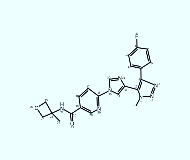 Cn1nnc(-c2ccc(F)cc2)c1-c1cn(-c2ccc(C(=O)NC3(C)COC3)cn2)cn1